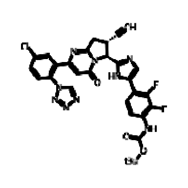 C#C[C@H]1Cc2nc(-c3cc(Cl)ccc3-n3cnnn3)cc(=O)n2[C@@H]1c1ncc(-c2ccc(NC(=O)OC(C)(C)C)c(F)c2F)[nH]1